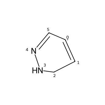 [C]1=CCNN=C1